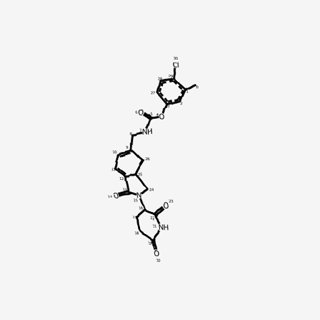 Cc1cc(OC(=O)NCC2=CC=C3C(=O)N(C4CCC(=O)NC4=O)CC3C2)ccc1Cl